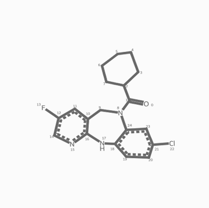 O=C(C1CCCCC1)N1Cc2cc(F)cnc2Nc2ccc(Cl)cc21